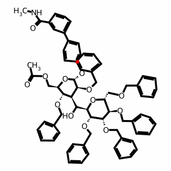 CNC(=O)c1cccc(-c2ccc(O[C@H]3O[C@H](COC(C)=O)[C@@H](OCc4ccccc4)[C@H](C(O)[C@H]4O[C@H](COCc5ccccc5)[C@@H](OCc5ccccc5)[C@H](OCc5ccccc5)[C@@H]4OCc4ccccc4)[C@@H]3OCc3ccccc3)cc2)c1